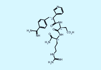 N=C(N)NCCC[C@H](NC(=O)[C@H](CC(=O)O)NC(=O)[C@H](Cc1ccc(C(=N)N)cc1)c1cccnc1)C(N)=O